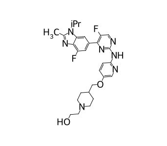 Cc1nc2c(F)cc(-c3nc(Nc4ccc(OCC5CCN(CCO)CC5)cn4)ncc3F)cc2n1C(C)C